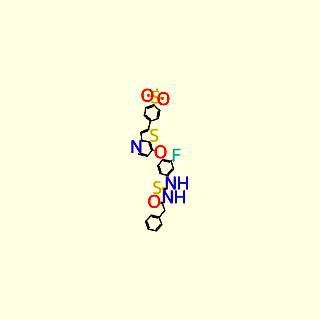 CS(=O)(=O)c1ccc(-c2cc3nccc(Oc4ccc(NC(=S)NC(=O)Cc5ccccc5)cc4F)c3s2)cc1